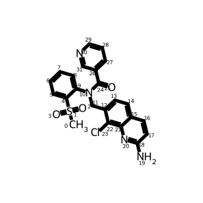 CS(=O)(=O)c1ccccc1N(Cc1ccc2ccc(N)nc2c1Cl)C(=O)c1cccnc1